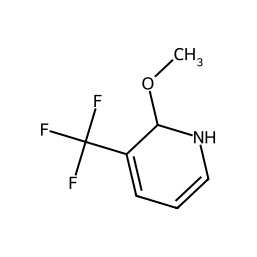 COC1NC=CC=C1C(F)(F)F